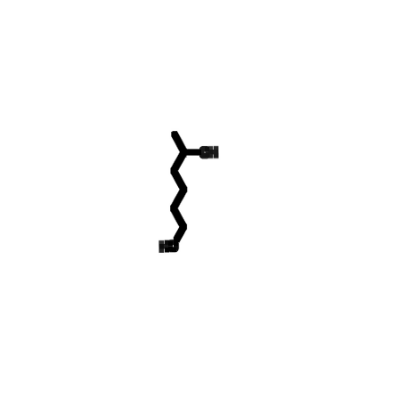 C[C](O)CCCCO